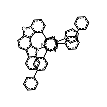 c1ccc(-c2ccc(-c3nc(-c4cccc(-c5ccccc5)c4)nc(-c4cccc5oc6ccc7c8ccccc8n(-c8ccc(-c9ccccc9)cc8)c7c6c45)n3)cc2)cc1